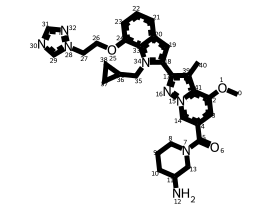 COc1cc(C(=O)N2CCCC(N)C2)cn2nc(-c3cc4cccc(OCCn5cncn5)c4n3CC3CC3)c(C)c12